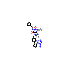 CCCn1c(=O)n(CCc2ccccc2)c(=O)c2c1nc(CC)n2Cc1ccc(-c2ccccc2-c2nnn[nH]2)cc1